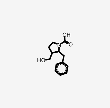 O=C(O)N1CCC(CO)C1Cc1ccccc1